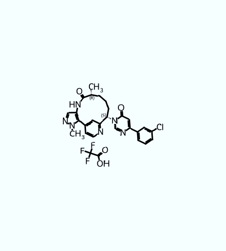 C[C@@H]1CCC[C@H](n2cnc(-c3cccc(Cl)c3)cc2=O)c2cc(ccn2)-c2c(cnn2C)NC1=O.O=C(O)C(F)(F)F